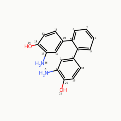 Nc1cc(-c2ccccc2-c2ccc(O)c(N)c2)ccc1O